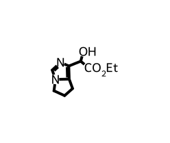 CCOC(=O)C(O)c1ncn2c1CCC2